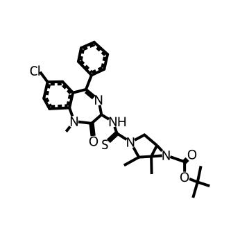 CC1N(C(=S)NC2N=C(c3ccccc3)c3cc(Cl)ccc3N(C)C2=O)CC2N(C(=O)OC(C)(C)C)C12C